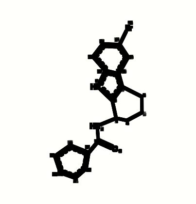 O=C(NC1CCCc2c1[nH]c1ccc(Br)cc21)c1ccncc1